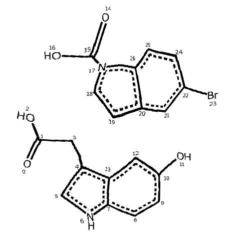 O=C(O)Cc1c[nH]c2ccc(O)cc12.O=C(O)n1ccc2cc(Br)ccc21